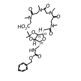 CN(CC(=O)O)C(=O)CN(C)C(=O)CN(C)C(=O)CN(C)C(=O)C[C@@H]1O[C@H](CNC(=O)OCc2ccccc2)[C@H]2OC(C)(C)O[C@H]21